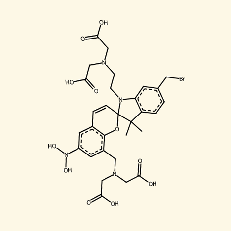 CC1(C)c2ccc(CBr)cc2N(CCN(CC(=O)O)CC(=O)O)C12C=Cc1cc(N(O)O)cc(CN(CC(=O)O)CC(=O)O)c1O2